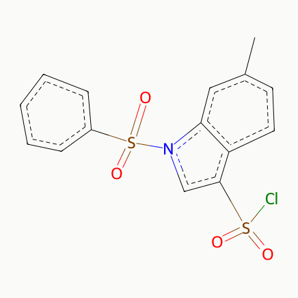 Cc1ccc2c(S(=O)(=O)Cl)cn(S(=O)(=O)c3ccccc3)c2c1